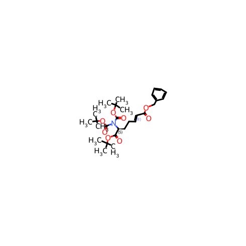 CC(C)(C)OC(=O)[C@H](CC/C=C/C(=O)OCc1ccccc1)N(C(=O)OC(C)(C)C)C(=O)OC(C)(C)C